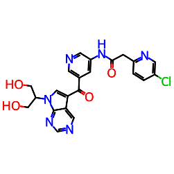 O=C(Cc1ccc(Cl)cn1)Nc1cncc(C(=O)c2cn(C(CO)CO)c3ncncc23)c1